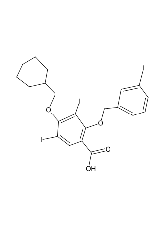 O=C(O)c1cc(I)c(OCC2CCCCC2)c(I)c1OCc1cccc(I)c1